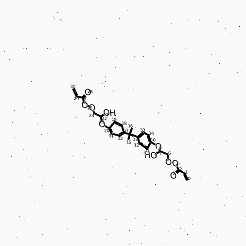 C=CC(=O)OOCC(O)Oc1ccc(C(C)(C)c2ccc(OC(O)COOC(=O)C=C)cc2)cc1